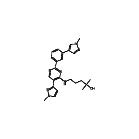 Cn1cc(-c2cccc(-c3ncc(-c4ccn(C)n4)c(NCCCC(C)(C)O)n3)c2)cn1